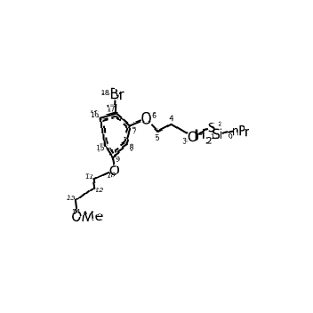 CCC[SiH2]SOCCOc1cc(OCCCOC)ccc1Br